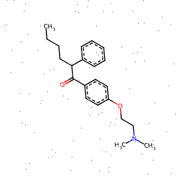 CCCCC(C(=O)c1ccc(OCCN(C)C)cc1)c1ccccc1